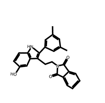 Cc1cc(C)cc(-c2[nH]c3ccc(O)cc3c2CCN2C(=O)c3ccccc3C2=O)c1